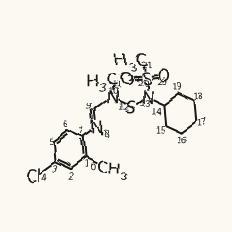 Cc1cc(Cl)ccc1N=CN(C)SN(C1CCCCC1)S(C)(=O)=O